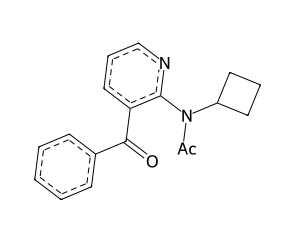 CC(=O)N(c1ncccc1C(=O)c1ccccc1)C1CCC1